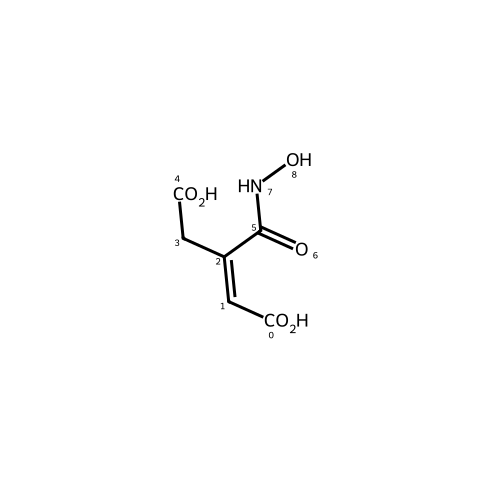 O=C(O)/C=C(/CC(=O)O)C(=O)NO